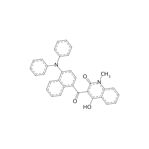 Cn1c(=O)c(C(=O)c2ccc(N(c3ccccc3)c3ccccc3)c3ccccc23)c(O)c2ccccc21